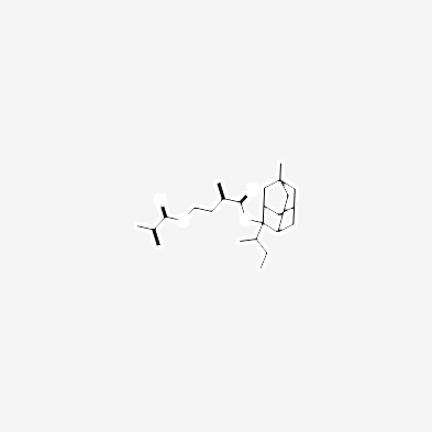 C=C(C)C(=O)OCCC(=C)C(=O)OC1(C(C)CC)C2CC3CC1CC(C)(C3)C2